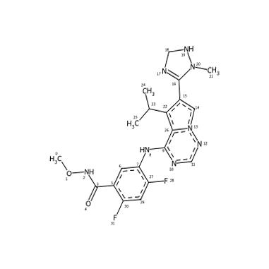 CONC(=O)c1cc(Nc2ncnn3cc(C4=NCNN4C)c(C(C)C)c23)c(F)cc1F